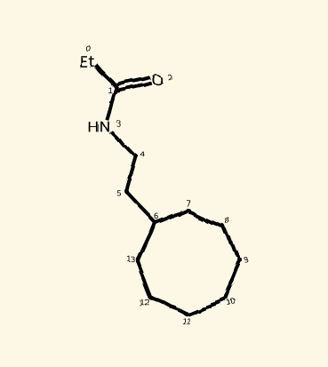 CCC(=O)NCCC1CCCCCCC1